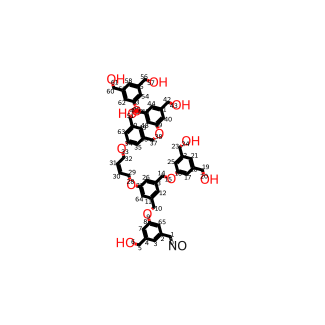 O=NCc1cc(CO)cc(OCc2cc(COc3cc(CO)cc(CO)c3)cc(OC/C=C\COc3cc(COc4cc(CO)cc(CO)c4)cc(COc4cc(CO)cc(CO)c4)c3)c2)c1